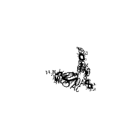 CC(=O)O[C@H]1[C@@H](OC(C)=O)[C@](C#N)(c2ccc3c(N)ncnn23)O[C@@H]1COP(=O)(N[C@@H](C)C(=O)OC1CC2(CCC2)C1)Oc1ccc(C(C)(C)C)cc1